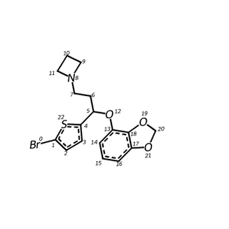 Brc1ccc(C(CCN2CCC2)Oc2cccc3c2OCO3)s1